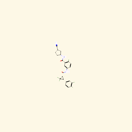 N#CC1CCC(NC(=O)c2cc(NC(=O)[C@@H]3[C@@H](c4ccc(Cl)c(Cl)c4)C3(Cl)Cl)ccc2Cl)C1